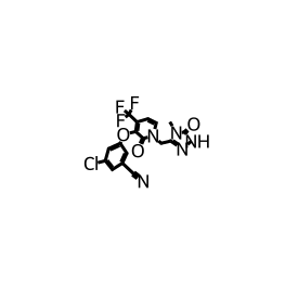 Cn1c(Cn2ccc(C(F)(F)F)c(Oc3cc(Cl)cc(C#N)c3)c2=O)n[nH]c1=O